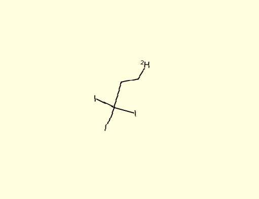 [2H]CCC(I)(I)I